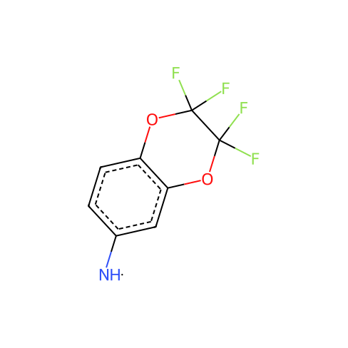 [NH]c1ccc2c(c1)OC(F)(F)C(F)(F)O2